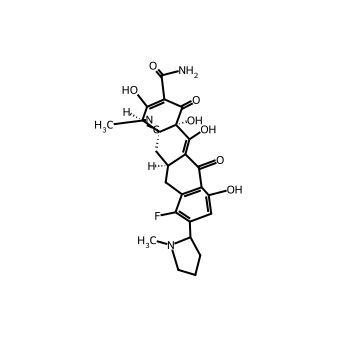 CN1CCCC1c1cc(O)c2c(c1F)C[C@H]1C[C@@]34CCN(C)[C@@H]3C(O)=C(C(N)=O)C(=O)[C@@]4(O)C(O)=C1C2=O